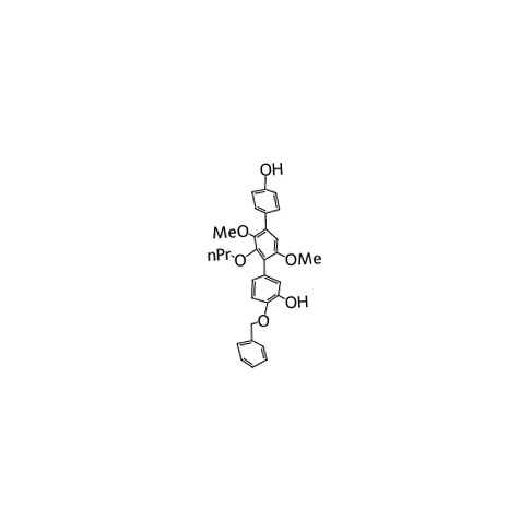 CCCOc1c(OC)c(-c2ccc(O)cc2)cc(OC)c1-c1ccc(OCc2ccccc2)c(O)c1